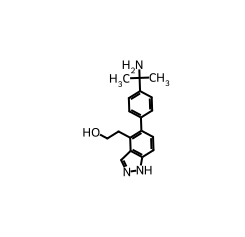 CC(C)(N)c1ccc(-c2ccc3[nH]ncc3c2CCO)cc1